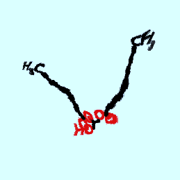 CC#CC#CC#CC#CC#CC#CC(=O)OC[C@@H](CO)OC(=O)C#CC#CC#CC#CC#CC